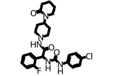 O=C(Nc1ccc(Cl)cc1)NC(C(=O)NN1CCC(N2CCCCC2=O)CC1)c1ccccc1F